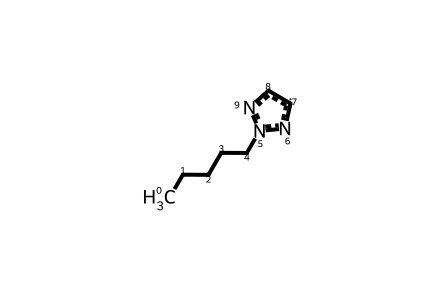 CCCCCn1n[c]cn1